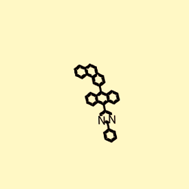 c1ccc(-c2ncc(-c3c4ccccc4c(-c4ccc5ccc6ccccc6c5c4)c4ccccc34)cn2)cc1